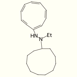 CCN(Nc1ccccccccc1)C1CCCCCCCCCC1